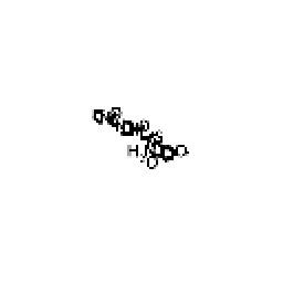 COc1ccc(C(N)=O)c(-c2nc(CC(=O)N3CCN(CC(=O)N4CCCC4)CC3)cs2)c1